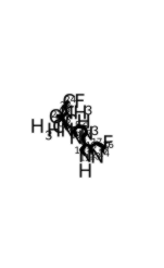 CC(C)(Nc1ccnc(-c2c[nH]c3ncc(F)cc23)n1)C(=O)NCC(F)(F)F